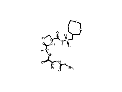 CC(C)C[C@H](NC(=O)[C@H](C)NC(=O)[C@@H](NC(=O)CN)C(C)C)C(=O)NS(=O)(=O)CC1CCCCCCC1